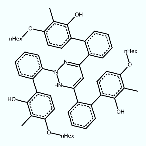 CCCCCCOc1ccc(-c2ccccc2C2=CC(c3ccccc3-c3ccc(OCCCCCC)c(C)c3O)=NN(c3ccccc3-c3ccc(OCCCCCC)c(C)c3O)N2)c(O)c1C